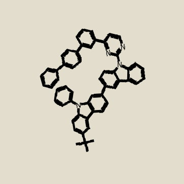 CC(C)(C)c1ccc2c(c1)c1ccc(-c3ccc4c(c3)c3ccccc3n4-c3nccc(-c4cccc(-c5ccc(-c6ccccc6)cc5)c4)n3)cc1n2-c1ccccc1